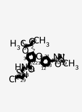 COC[C@@H](C)Oc1cc(Oc2cccc(-c3nnc(C)o3)c2)cc(C(=O)Nc2ncc(Cl)s2)c1